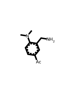 [CH2]C(=O)c1ccc(N(C)C)c(CN)c1